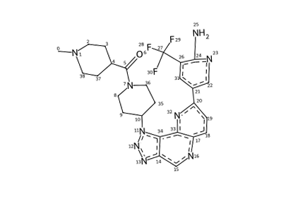 CN1CCC(C(=O)N2CCC(n3nnc4cnc5ccc(-c6cnc(N)c(C(F)(F)F)c6)nc5c43)CC2)CC1